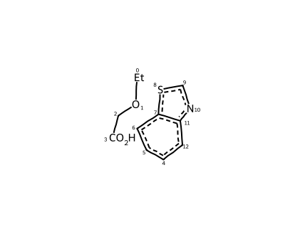 CCOCC(=O)O.c1ccc2scnc2c1